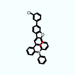 Clc1cccc(-c2ccc3c(c2)oc2ccc(-c4ccccc4N(c4ccccc4)c4ccccc4)cc23)c1